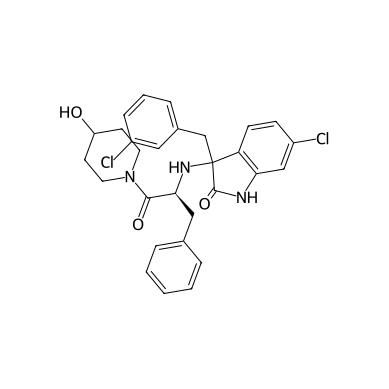 O=C([C@H](Cc1ccccc1)NC1(Cc2cccc(Cl)c2)C(=O)Nc2cc(Cl)ccc21)N1CCC(O)CC1